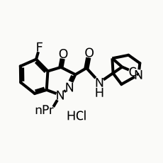 CCCn1nc(C(=O)NC2CN3CCC2CC3)c(=O)c2c(F)cccc21.Cl